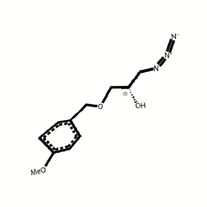 COc1ccc(COC[C@@H](O)[CH]N=[N+]=[N-])cc1